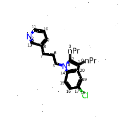 CCCc1c(CCC)n(CCCc2cccnc2)c2ccc(Cl)cc12